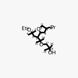 CCOC(C)(C)CC(C1CC(C(C)C)CO1)C(C)(C)OCC(C)(C)O